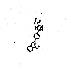 FC(F)(F)c1nc(-c2ccc(NCc3ccccc3C(F)(F)F)cc2)no1